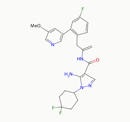 C=C(Cc1ccc(F)cc1-c1cncc(OC)c1)NC(=O)c1cnn(C2CCC(F)(F)CC2)c1N